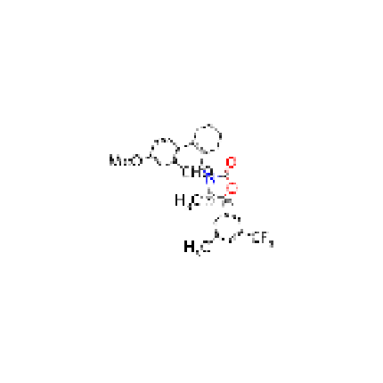 COc1ccc(C2=C(CN3C(=O)O[C@H](c4cc(C)cc(C(F)(F)F)c4)[C@@H]3C)CCCC2)c(C=O)c1